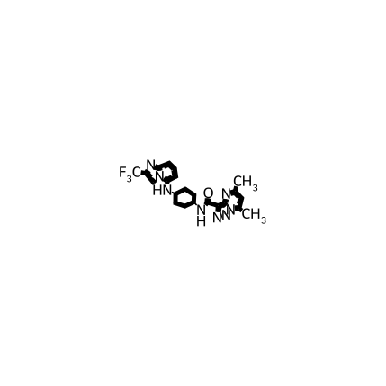 Cc1cc(C)n2nnc(C(=O)N[C@H]3CC[C@@H](Nc4cccc5nc(C(F)(F)F)cn45)CC3)c2n1